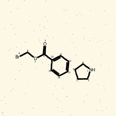 C1CCNC1.O=C(OCBr)c1ccccc1